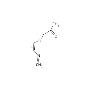 C=N/C=C\SCC(C)=O